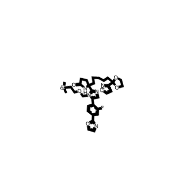 C[Si](C)(C)CCOCn1c(-c2ccc(-c3ncco3)cc2F)cnc1C1(CCCCCC2(c3ccon3)OCCO2)CCC(=O)N1